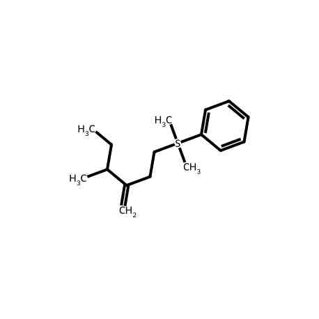 C=C(CCS(C)(C)c1ccccc1)C(C)CC